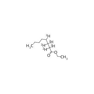 [2H]C(CCCC)C([2H])([2H])C([2H])([2H])C(=O)OCC